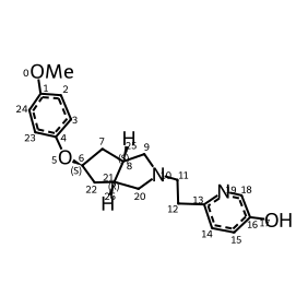 COc1ccc(O[C@H]2C[C@@H]3CN(CCc4ccc(O)cn4)C[C@@H]3C2)cc1